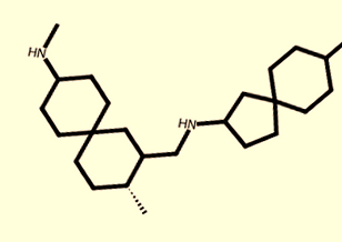 CNC1CCC2(CC1)CC[C@@H](C)C(CNC1CCC3(CCC(C)CC3)C1)C2